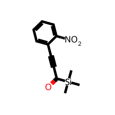 C[Si](C)(C)C(=O)C#Cc1ccccc1[N+](=O)[O-]